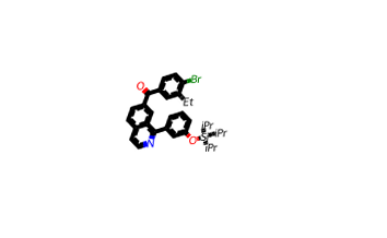 CCc1cc(C(=O)c2ccc3ccnc(-c4cccc(O[Si](C(C)C)(C(C)C)C(C)C)c4)c3c2)ccc1Br